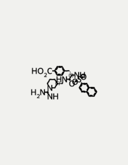 N=C(N)N1CCC[C@@H](CNC(=O)[C@H](Cc2ccc(C(=O)O)cc2)NS(=O)(=O)c2ccc3ccccc3c2)C1